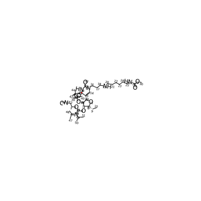 [C-]#[N+]CCOP(OC1[C@@H](CC)O[C@@H](c2cn(CCCNCCCCCCNC(=O)OC)c(=O)[nH]c2=O)[C@H]1O[Si](C)(C)C(C)(C)C)N(C(C)C)C(C)C